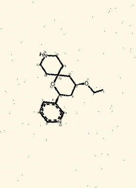 CCO[C@H]1C[C@@H](c2cccnc2)OC2(CCNCC2)C1